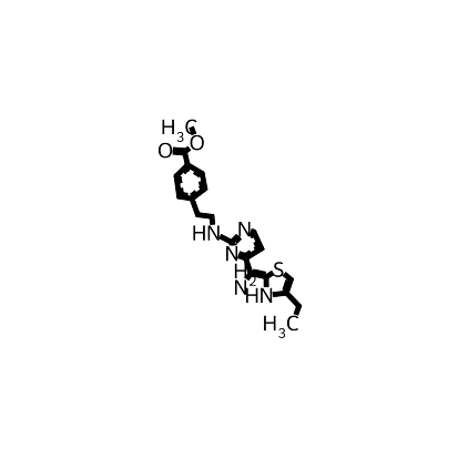 CCC1=CS/C(=C(/N)c2ccnc(NCCc3ccc(C(=O)OC)cc3)n2)N1